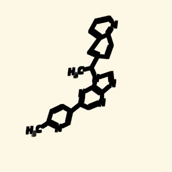 Cc1ccc(-c2cnc3ncn(C(C)c4ccc5ncccc5c4)c3n2)cn1